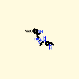 COc1ccc2[nH]cc(CCNc3nc(C)cc(Nc4ccc5[nH]c(C)cc5c4)n3)c2c1